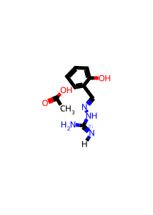 CC(=O)O.[H]/N=C(\N)NN=Cc1ccccc1O